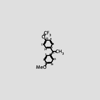 COc1ccc(C(C)c2ccc(OC(F)(F)F)cc2)cc1